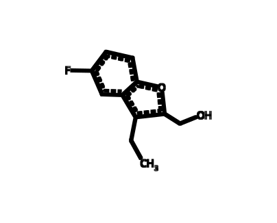 CCc1c(CO)oc2ccc(F)cc12